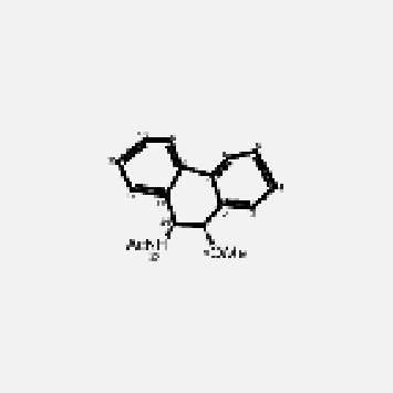 CO[C@@H]1c2ccccc2-c2ccccc2[C@@H]1NC(C)=O